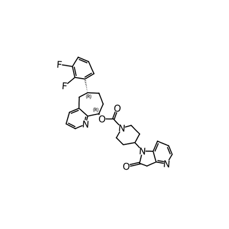 O=C(O[C@@H]1CC[C@@H](c2cccc(F)c2F)Cc2cccnc21)N1CCC(N2C(=O)Cc3ncccc32)CC1